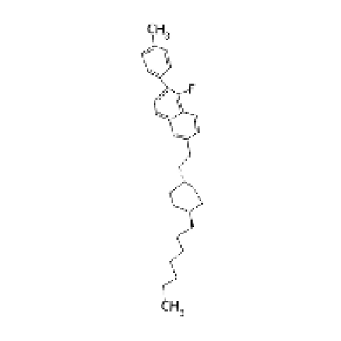 CCCCCCC[C@H]1CC[C@H](CCc2ccc3c(F)c(-c4ccc(C)cc4)ccc3c2)CC1